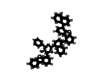 CN1C(c2ccccc2)=NC(c2ccc(-c3cccc4oc5c(-c6cccc7ccccc67)cccc5c34)c3ccccc23)=NC1c1cccc2c1oc1ccccc12